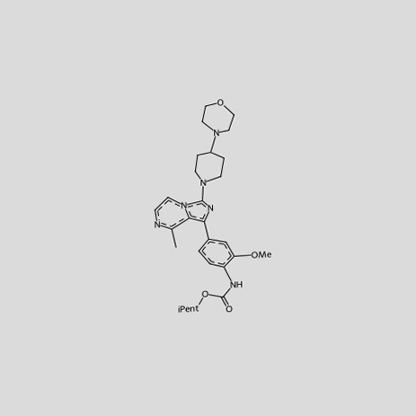 CCCC(C)OC(=O)Nc1ccc(-c2nc(N3CCC(N4CCOCC4)CC3)n3ccnc(C)c23)cc1OC